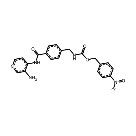 Nc1cnccc1NC(=O)c1ccc(CNC(=O)OCc2ccc([N+](=O)[O-])cc2)cc1